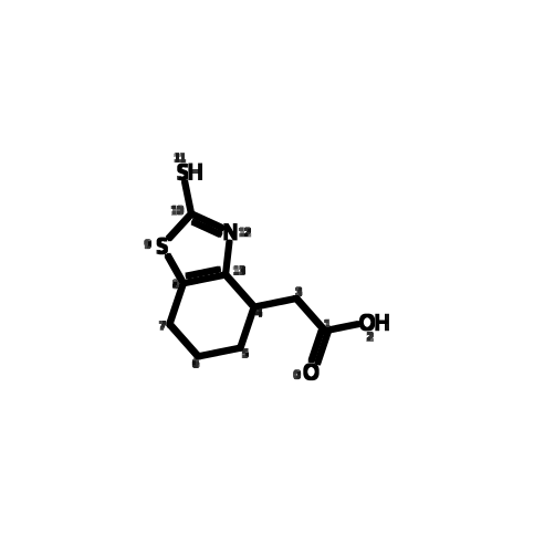 O=C(O)CC1CCCc2sc(S)nc21